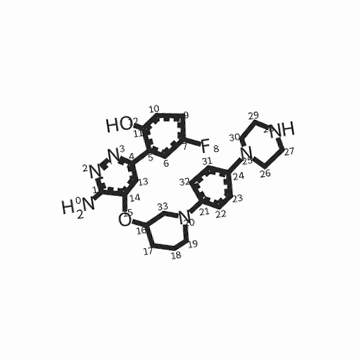 Nc1nnc(-c2cc(F)ccc2O)cc1OC1CCCN(c2ccc(N3CCNCC3)cc2)C1